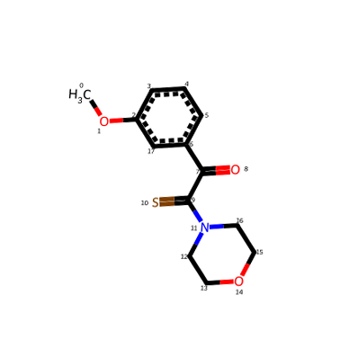 COc1cccc(C(=O)C(=S)N2CCOCC2)c1